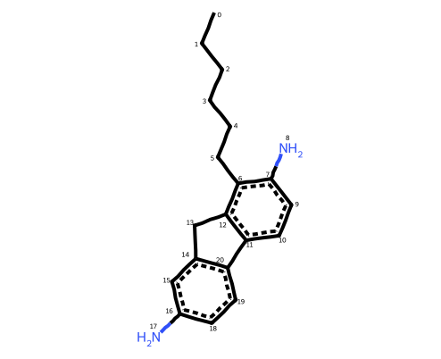 CCCCCCc1c(N)ccc2c1Cc1cc(N)ccc1-2